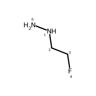 NNCCF